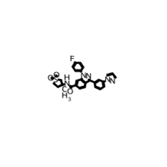 CC1(NC(=O)c2ccc3c(-c4cccc(-n5cccn5)c4)nn(-c4ccc(F)cc4)c3c2)CCS(=O)(=O)C1